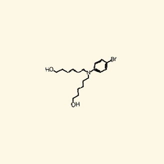 OCCCCCCN(CCCCCCO)c1ccc(Br)cc1